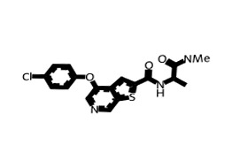 CNC(=O)C(C)NC(=O)c1cc2c(Oc3ccc(Cl)cc3)cncc2s1